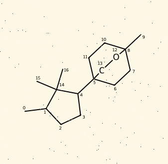 CC1CCC(C23CCC(C)(CC2)OC3)C1(C)C